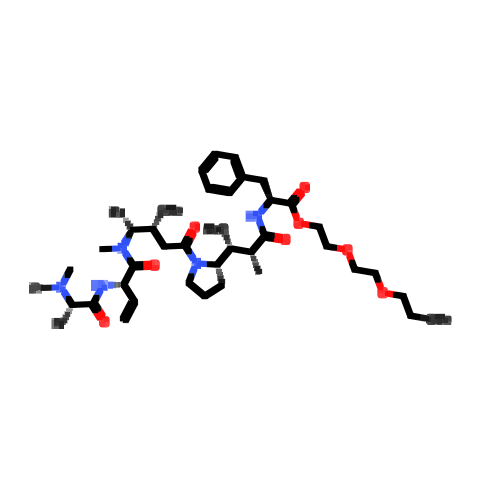 C=C[C@H](NC(=O)[C@H](C(C)C)N(C)C(C)C)C(=O)N(C)[C@@H]([C@@H](C)CC)[C@@H](CC(=O)N1CCC[C@H]1[C@H](OC)[C@@H](C)C(=O)N[C@@H](Cc1ccccc1)C(=O)OCCOCCOCCOC)OC